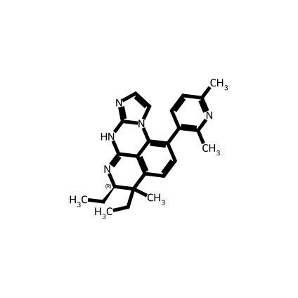 CC[C@H]1N=C2Nc3nccn3-c3c(-c4ccc(C)nc4C)ccc(c32)C1(C)CC